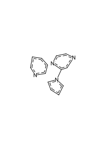 c1ccn(-c2cnccn2)c1.c1ccncc1